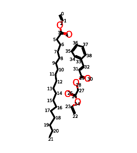 C=COC(=O)CCCCCCCCCCCCCCCCC.C=COC(=O)COC(=O)C=Cc1ccccc1